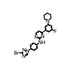 Fc1cc(-c2ccnc(Nc3ccc(-n4cnc(Br)n4)cc3)n2)cc(N2CCCCC2)c1